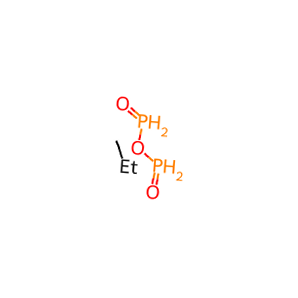 CCC.O=[PH2]O[PH2]=O